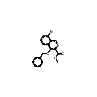 COC(=O)c1ncc2c(Br)cccc2c1OCc1ccccc1